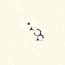 CC(C)(C)OC(=O)N1CCc2cn[nH]c(=O)c2C1